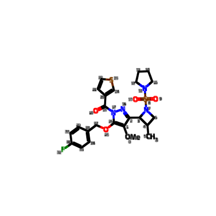 COc1c(C2C(C)CN2S(=O)(=O)N2CCCC2)nn(C(=O)c2ccsc2)c1OCc1ccc(F)cc1